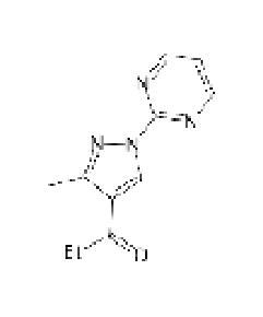 CCC(=O)c1cn(-c2ncccn2)nc1C